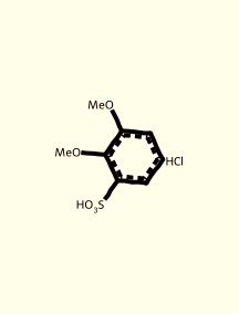 COc1cccc(S(=O)(=O)O)c1OC.Cl